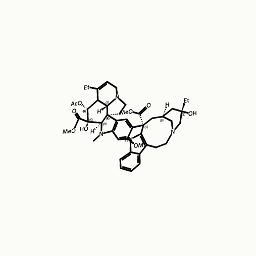 CCC1=CCN2CC[C@]34c5cc([C@@]6(C(=O)OC)C[C@@H]7CN(CCc8c6[nH]c6ccccc86)C[C@](O)(CC)C7)c(OC)cc5N(C)[C@H]3[C@@](O)(C(=O)OC)[C@H](OC(C)=O)C1[C@H]24